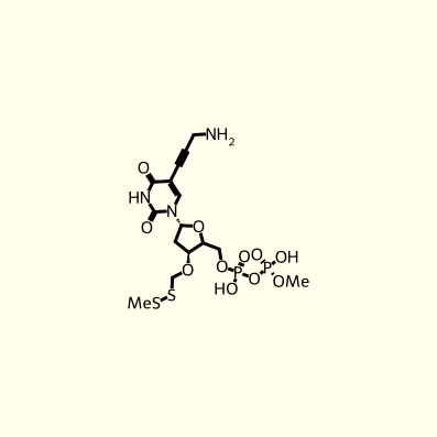 COP(=O)(O)OP(=O)(O)OCC1O[C@@H](n2cc(C#CCN)c(=O)[nH]c2=O)C[C@@H]1OCSSC